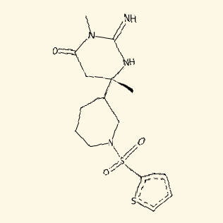 CN1C(=N)N[C@](C)(C2CCCN(S(=O)(=O)c3cccs3)C2)CC1=O